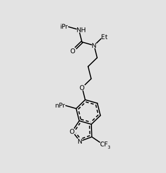 CCCc1c(OCCCN(CC)C(=O)NC(C)C)ccc2c(C(F)(F)F)noc12